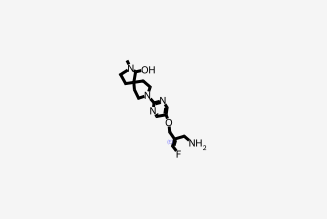 CN1CCC2(CCN(c3ncc(OC/C(=C/F)CN)cn3)CC2)C1O